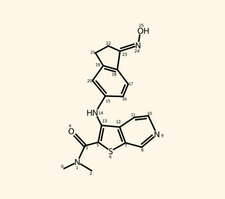 CN(C)C(=O)c1sc2cnccc2c1Nc1ccc2c(c1)CCC2=NO